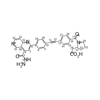 NNC(=O)c1cc(-c2ccc(C#Cc3ccc(C(=O)N4CCCC4CC(=O)O)cc3)cc2)nc2ccncc12